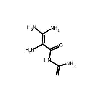 C=C(N)NC(=O)C(N)=C(N)N